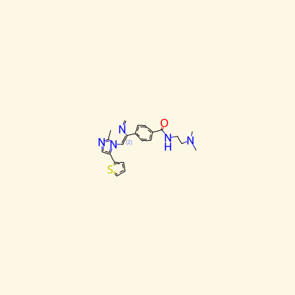 C=N/C(=C\n1c(-c2cccs2)cnc1C)c1ccc(C(=O)NCCN(C)C)cc1